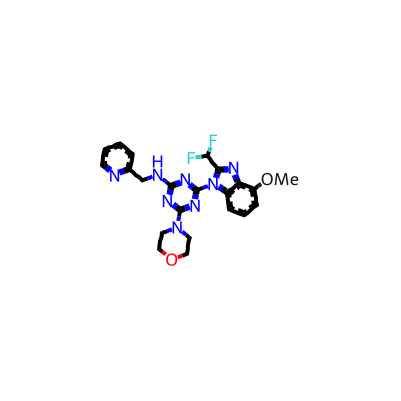 COc1cccc2c1nc(C(F)F)n2-c1nc(NCc2ccccn2)nc(N2CCOCC2)n1